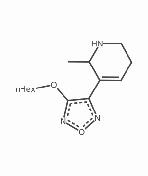 CCCCCCOc1nonc1C1=CCCNC1C